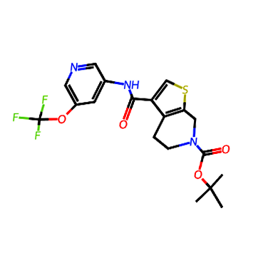 CC(C)(C)OC(=O)N1CCc2c(C(=O)Nc3cncc(OC(F)(F)F)c3)csc2C1